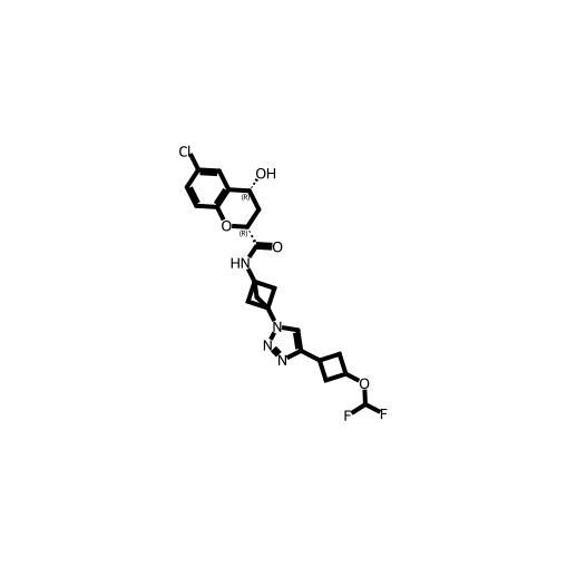 O=C(NC12CC(n3cc(C4CC(OC(F)F)C4)nn3)(C1)C2)[C@H]1C[C@@H](O)c2cc(Cl)ccc2O1